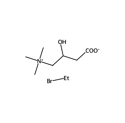 CCBr.C[N+](C)(C)CC(O)CC(=O)[O-]